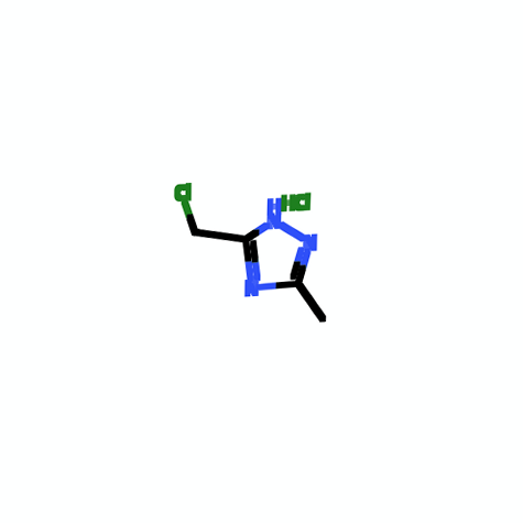 Cc1n[nH]c(CCl)n1.Cl